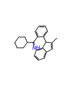 CC1=Cc2ccccc2C1c1ccccc1C(=N)C1CCCCC1